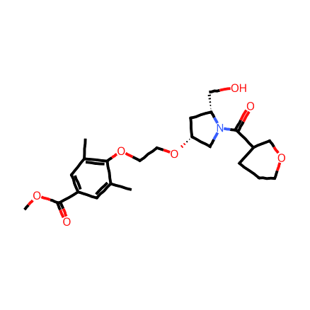 COC(=O)c1cc(C)c(OCCO[C@@H]2C[C@H](CO)N(C(=O)C3CCCOC3)C2)c(C)c1